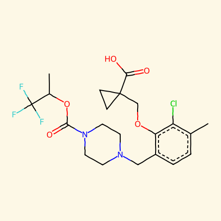 Cc1ccc(CN2CCN(C(=O)OC(C)C(F)(F)F)CC2)c(OCC2(C(=O)O)CC2)c1Cl